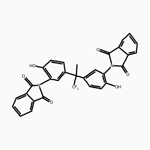 CC(c1ccc(O)c(N2C(=O)c3ccccc3C2=O)c1)(c1ccc(O)c(N2C(=O)c3ccccc3C2=O)c1)C(F)(F)F